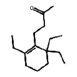 CCC1=C(CCC(C)=O)C(CC)(CC)CCC1